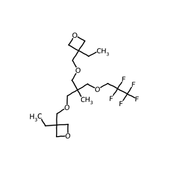 CCC1(COCC(C)(COCC2(CC)COC2)COCC(F)(F)C(F)(F)F)COC1